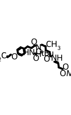 C=CCOc1ccc(CC(NC(=O)OC(C)(C)C)C(=O)NCC(C)CCC(=O)NC=CCC(=O)OC)cc1